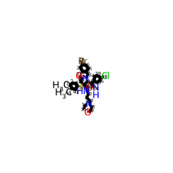 Cc1ccc(S[C@@]2(C(=O)NCCCN3CCOCC3)CC(=O)N(Cc3ccc(Br)cc3)[C@@H]2c2c[nH]c3cc(Cl)ccc23)cc1C